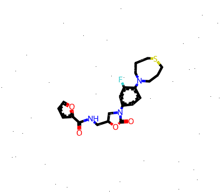 O=C(NCC1CN(c2ccc(N3CCCSCCC3)c(F)c2)C(=O)O1)c1ccco1